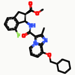 COC(=O)[C@@H]1Cc2cccc(F)c2[C@@H]1NC(=O)c1c(C)nc2c(OCC3CCCCC3)cccn12